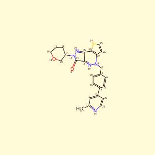 Cc1cc(-c2ccc(Cn3nc4c(=O)n(C5CCCOC5)nc-4c4sccc43)cc2)ccn1